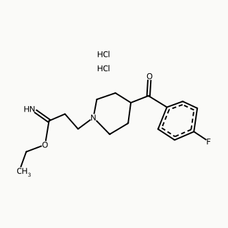 CCOC(=N)CCN1CCC(C(=O)c2ccc(F)cc2)CC1.Cl.Cl